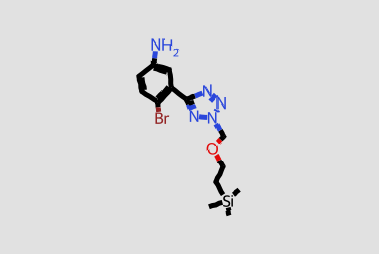 C[Si](C)(C)CCOCn1nnc(-c2cc(N)ccc2Br)n1